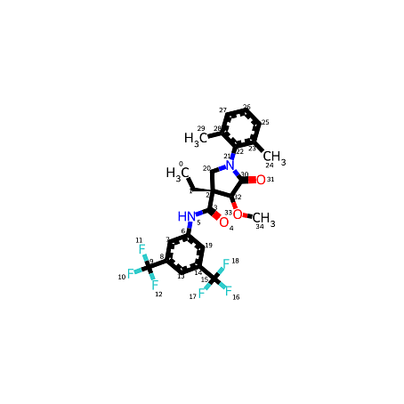 CC[C@@]1(C(=O)Nc2cc(C(F)(F)F)cc(C(F)(F)F)c2)CN(c2c(C)cccc2C)C(=O)C1OC